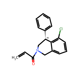 C=CC(=O)N1Cc2cccc(Cl)c2[C@@H](c2ccccc2)C1